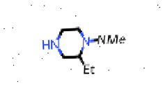 CCC1CNCCN1NC